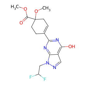 COC(=O)C1(OC)CC=C(c2nc(O)c3cnn(CC(F)F)c3n2)CC1